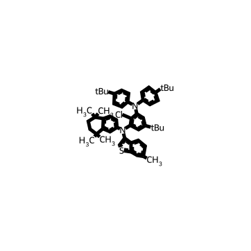 Cc1ccc2c(N(c3ccc4c(c3)C(C)(C)CCC4(C)C)c3cc(C(C)(C)C)cc(N(c4ccc(C(C)(C)C)cc4)c4ccc(C(C)(C)C)cc4)c3Cl)csc2c1